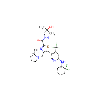 C[C@H]1CCCN1Cc1nc(C(=O)NCC(C)(C)O)sc1-c1cnc(N[C@@H]2CCCCC2(F)F)cc1C(F)(F)F